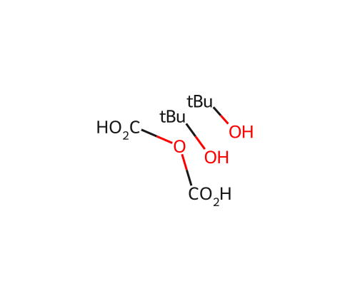 CC(C)(C)O.CC(C)(C)O.O=C(O)OC(=O)O